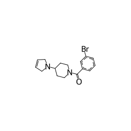 O=C(c1cccc(Br)c1)N1CCC(N2CC=CC2)CC1